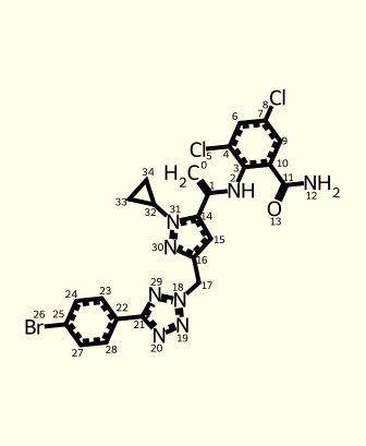 C=C(Nc1c(Cl)cc(Cl)cc1C(N)=O)c1cc(Cn2nnc(-c3ccc(Br)cc3)n2)nn1C1CC1